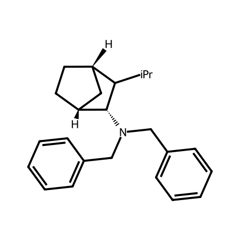 CC(C)C1[C@H]2CC[C@H](C2)[C@H]1N(Cc1ccccc1)Cc1ccccc1